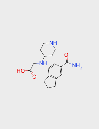 NC(=O)c1ccc2c(c1)CCC2.O=C(O)CNC1CCNCC1